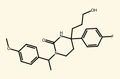 COc1ccc(C(C)N2CCC(CCCO)(c3ccc(F)cc3)NC2=O)cc1